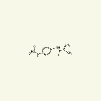 C=C(C)C(=O)Nc1ccc(N[SH](=O)=O)cc1